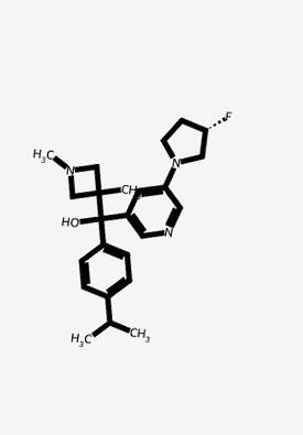 CC(C)c1ccc(C(O)(c2cncc(N3CC[C@H](F)C3)c2)C2(C)CN(C)C2)cc1